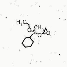 CCO[Si](C)(OC1CO1)C1CCCCC1